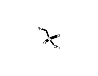 [3H]CS(C)(=O)=O